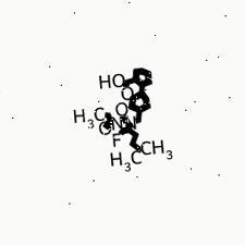 CCC(=O)n1c(F)c(CCC(C)C)n(Cc2ccc(-c3ccccc3C(=O)O)cc2)c1=O